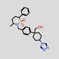 CC1CCC(c2ccccc2)S(=O)(=O)N1Cc1ccc(C2(CO)CCC(n3cnnc3)CC2)cc1